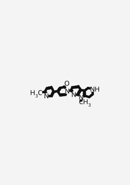 Cc1ccc(-c2ccn(-c3ccc4c5c(n(C)c4n3)CCNC5)c(=O)c2)cn1